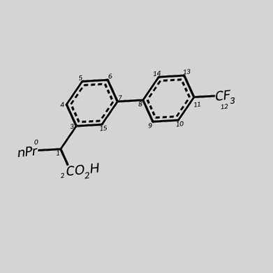 CCCC(C(=O)O)c1cccc(-c2ccc(C(F)(F)F)cc2)c1